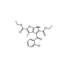 CCOC(=O)c1[nH]c2sc(C(=O)OCC)c(C)c2c1C(=O)c1ccccc1Cl